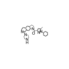 Cc1cc(C(=O)N2CCc3cc4ccnc(N5CCNCC5)c4cc32)nn1-c1ccccc1